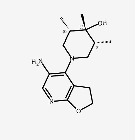 C[C@@H]1CN(c2c(N)cnc3c2CCO3)C[C@H](C)[C@]1(C)O